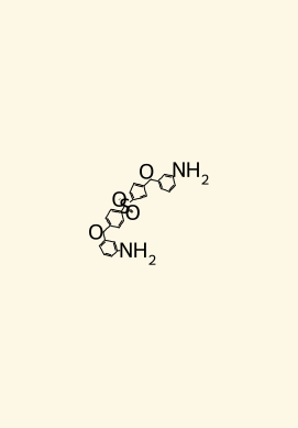 Nc1cccc(C(=O)c2ccc(S(=O)(=O)c3ccc(C(=O)c4cccc(N)c4)cc3)cc2)c1